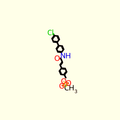 CS(=O)(=O)OCc1ccc(C=CC(=O)Nc2ccc(-c3ccc(Cl)cc3)cc2)cc1